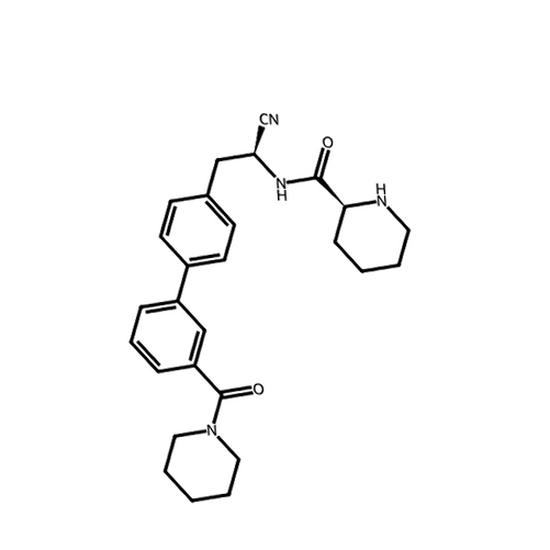 N#C[C@H](Cc1ccc(-c2cccc(C(=O)N3CCCCC3)c2)cc1)NC(=O)[C@@H]1CCCCN1